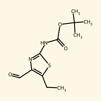 CCc1sc(NC(=O)OC(C)(C)C)nc1C=O